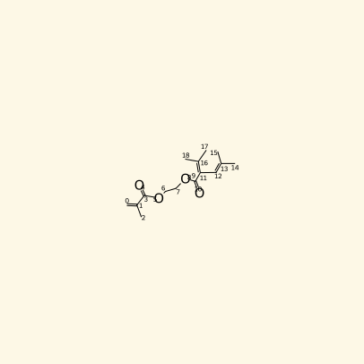 C=C(C)C(=O)OCCOC(=O)C(C=C(C)C)=C(C)C